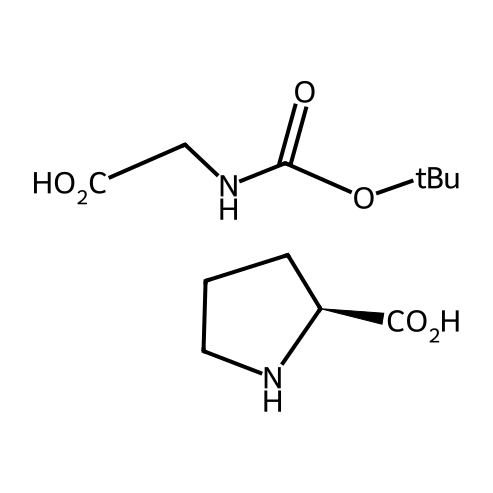 CC(C)(C)OC(=O)NCC(=O)O.O=C(O)[C@@H]1CCCN1